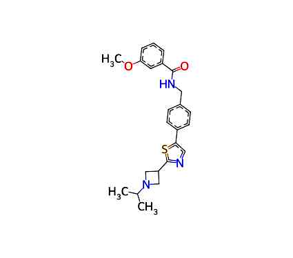 COc1cccc(C(=O)NCc2ccc(-c3cnc(C4CN(C(C)C)C4)s3)cc2)c1